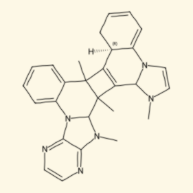 CN1C=CN2C3=CC=CC[C@@H]3C3=C(C12)C1(C)C2N(C)c4nccnc4N2c2ccccc2C31C